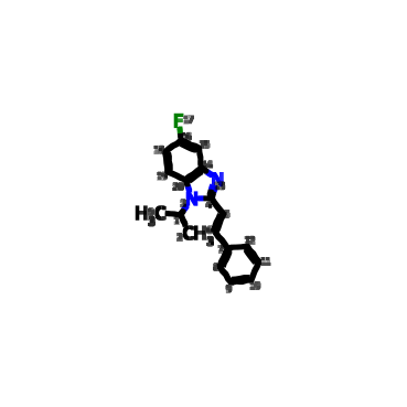 CC(C)n1c(/C=C/c2ccccc2)nc2cc(F)ccc21